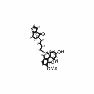 COc1ccc2c3c1O[C@H]1C[C@@H](O)C=C[C@@]31CCN(CCCC[C@H]1CCc3sccc3C1=O)C2